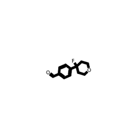 O=Cc1ccc(C2(F)CCOCC2)cc1